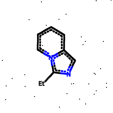 CCc1ncc2ccccn12